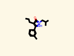 CCCc1c(-c2cccc(C)c2)[nH]n(CC(C)C)c1=O